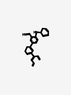 C=C/C=C(\C=C)C1=CCCC(c2ccc(NC3C=CC=CC3)c(C=N)c2)=C1